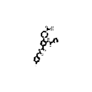 CCNC(=O)N1CCCN(c2ccc(C(=O)NC(Cl)Cc3ccc(Cl)cc3)cc2NC(=O)c2ccco2)CC1